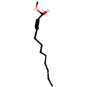 [CH2]CCCCCCCC#CC(=O)OC